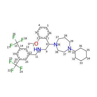 COc1ccccc1C(CNCc1cc(C(F)(F)F)cc(C(F)(F)F)c1)N1CCCN(C2CCCCC2)CC1